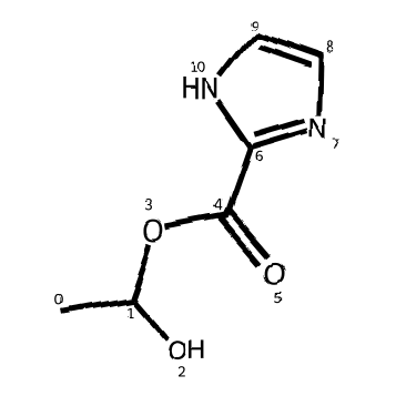 CC(O)OC(=O)c1ncc[nH]1